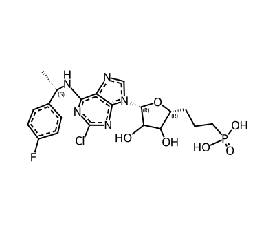 C[C@H](Nc1nc(Cl)nc2c1ncn2[C@@H]1O[C@H](CCCP(=O)(O)O)C(O)C1O)c1ccc(F)cc1